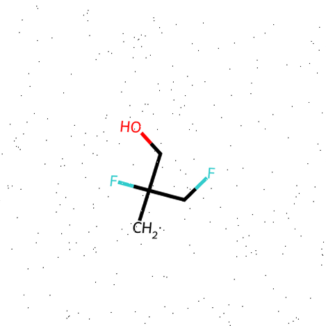 [CH2]C(F)(CO)CF